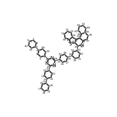 c1ccc(-c2ccc(-c3nc(-c4ccc(-c5ccccc5)cc4)nc(-c4ccc(-c5cccc(-c6nc7ccc8ccccc8c7c7c6sc6ccccc67)c5)cc4)n3)cc2)cc1